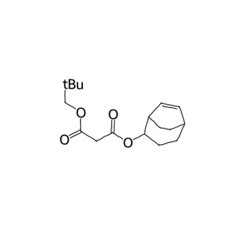 CC(C)(C)COC(=O)CC(=O)OC1CCC2C=CC1CC2